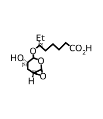 CC[C@H](CCCCC(=O)O)OC1OC2O[C@@H]2C[C@@H]1O